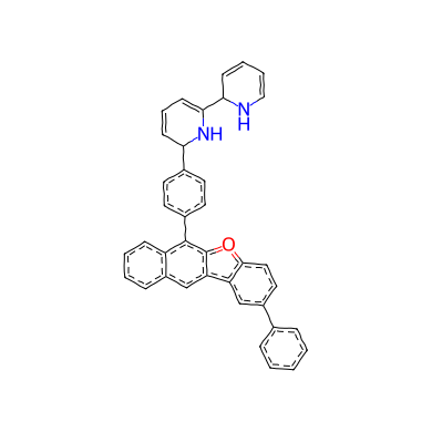 C1=CNC(C2=CC=CC(c3ccc(-c4c5ccccc5cc5c4oc4ccc(-c6ccccc6)cc45)cc3)N2)C=C1